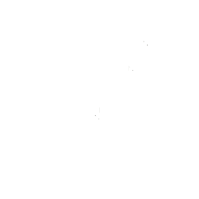 O=C(NCCc1ccc(F)cc1)c1ccc(NC(=O)c2cc3ccccc3[nH]2)c(OCCc2ccc(O)cc2)c1